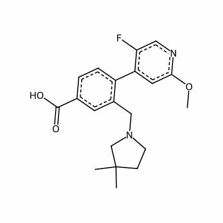 COc1cc(-c2ccc(C(=O)O)cc2CN2CCC(C)(C)C2)c(F)cn1